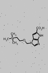 C[Si](C)(C)CCOCn1cnc2[nH]c(C(=O)O)cc21